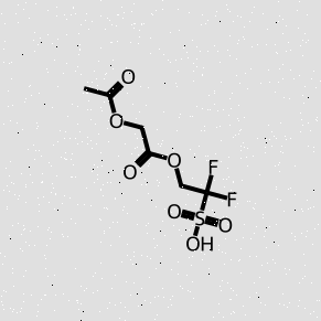 CC(=O)OCC(=O)OCC(F)(F)S(=O)(=O)O